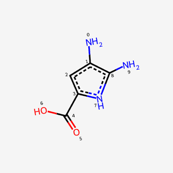 Nc1cc(C(=O)O)[nH]c1N